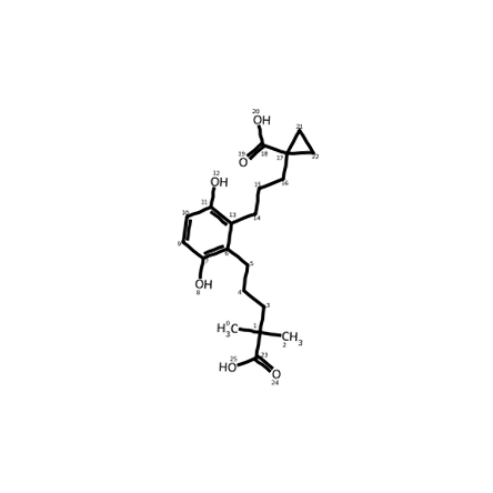 CC(C)(CCCc1c(O)ccc(O)c1CCCC1(C(=O)O)CC1)C(=O)O